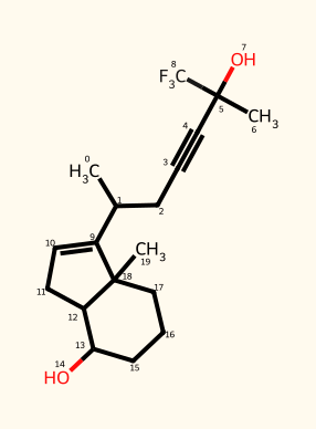 CC(CC#CC(C)(O)C(F)(F)F)C1=CCC2C(O)CCCC12C